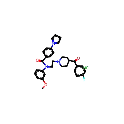 COc1cccc(N(CCN2CCC(C(=O)c3ccc(F)cc3)CC2)C(=O)c2ccc(-n3cccc3)cc2)c1.Cl